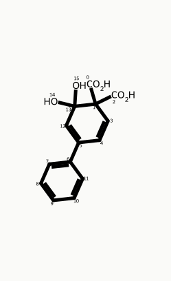 O=C(O)C1(C(=O)O)C=CC(c2ccccc2)=CC1(O)O